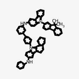 CC1(C)c2ccccc2-c2ccc(-n3c4ccccc4c4cc(Nc5cccc(-c6ccc(-n7c8ccc(Nc9ccccc9)cc8c8ccc9ccccc9c87)cc6)c5)ccc43)cc21